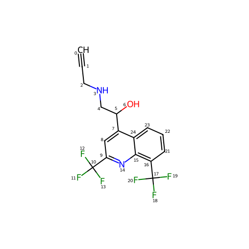 C#CCNCC(O)c1cc(C(F)(F)F)nc2c(C(F)(F)F)cccc12